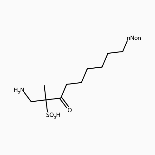 CCCCCCCCCCCCCCCC(=O)C(C)(CN)S(=O)(=O)O